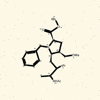 CCCC(C[C@@H]1[C@H](COC)C[C@H](C(=O)OC(C)(C)C)N1Cc1ccccc1)C(C)NC(C)=O